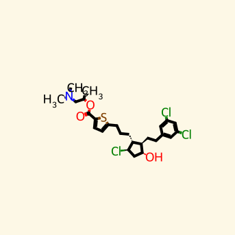 CC(CN(C)C)OC(=O)c1ccc(CCC[C@@H]2[C@@H](CCc3cc(Cl)cc(Cl)c3)[C@H](O)C[C@H]2Cl)s1